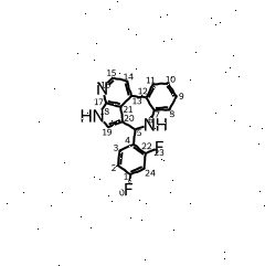 Fc1ccc(C2Nc3ccccc3-c3ccnc4[nH]cc2c34)c(F)c1